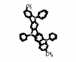 Cc1ccc2c(c1)B(c1ccccc1)c1cc3c(cc1-2)B(c1ccccc1)c1cc2c(cc1-3)B(c1ccccc1)c1cc(C)ccc1-2